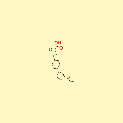 CCOc1cccc(-c2ccc(C=CC(=O)C(=O)O)cc2)c1